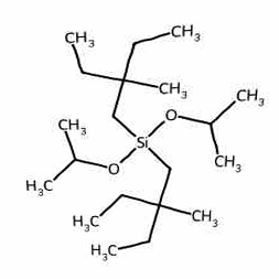 CCC(C)(CC)C[Si](CC(C)(CC)CC)(OC(C)C)OC(C)C